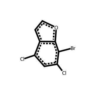 Clc1cc(Cl)c2ccoc2c1Br